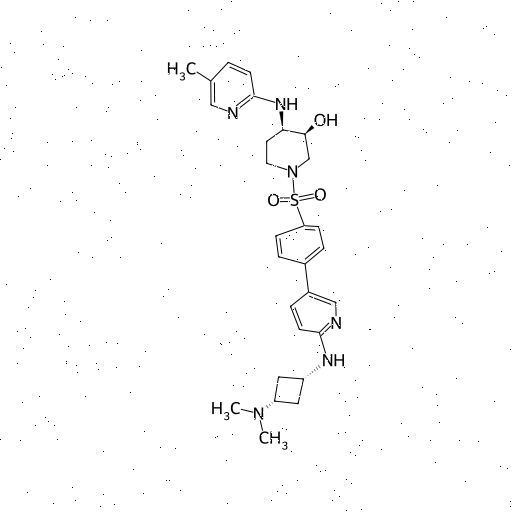 Cc1ccc(N[C@@H]2CCN(S(=O)(=O)c3ccc(-c4ccc(N[C@H]5C[C@@H](N(C)C)C5)nc4)cc3)C[C@@H]2O)nc1